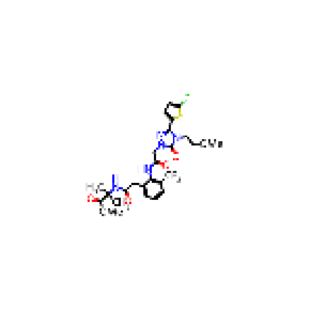 COCCn1c(-c2ccc(Cl)s2)nn(CC(=O)Nc2c(CC(=O)NC(C)(C)C(=O)OC)cccc2C(F)(F)F)c1=O